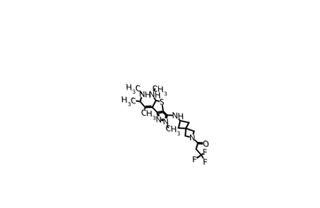 CNC(C)/C(C)=C1/c2nn(C)c(NC3CC4(C3)CN(C(=O)CC(F)(F)F)C4)c2SC1NC